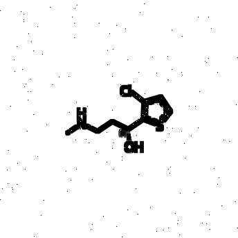 CNCC[C@@H](O)c1sccc1Cl